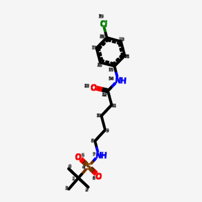 CC(C)(C)S(=O)(=O)NCCCCC(=O)Nc1ccc(Cl)cc1